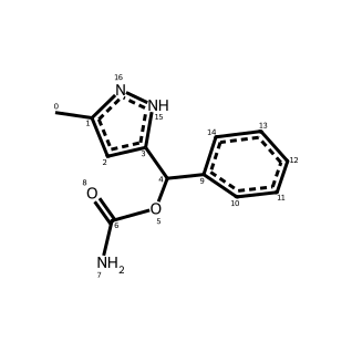 Cc1cc(C(OC(N)=O)c2ccccc2)[nH]n1